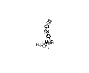 CC(C)(C)OC(=O)NC1CC1c1ccc(-c2ncn(-c3ccc(OC(F)(F)F)cc3)n2)cc1